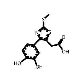 CSc1nc(-c2ccc(O)c(O)c2)c(CC(=O)O)s1